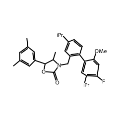 COc1cc(F)c(C(C)C)cc1-c1ccc(C(C)C)cc1CN1C(=O)OC(c2cc(C)cc(C)c2)C1C